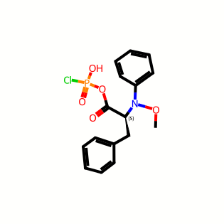 CON(c1ccccc1)[C@@H](Cc1ccccc1)C(=O)OP(=O)(O)Cl